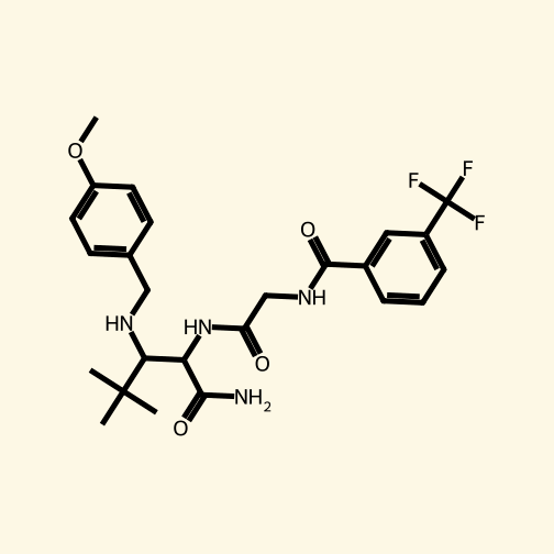 COc1ccc(CNC(C(NC(=O)CNC(=O)c2cccc(C(F)(F)F)c2)C(N)=O)C(C)(C)C)cc1